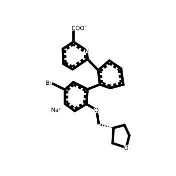 O=C([O-])c1cccc(-c2ccccc2-c2cc(Br)ccc2OC[C@@H]2CCOC2)n1.[Na+]